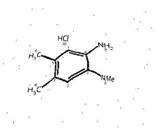 CNc1cc(C)c(C)cc1N.Cl